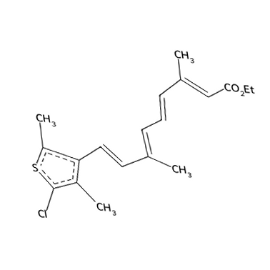 CCOC(=O)C=C(C)C=CC=C(C)C=Cc1c(C)sc(Cl)c1C